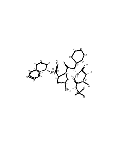 C[C@@H](C(=O)N[C@H](C(=O)N1C[C@@H](N)C[C@H]1C(=O)N[C@H]1CCCc2ccccc21)C1CCCCC1)N(C)C(=O)OC(C)(C)C